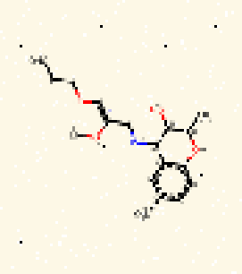 CCO/C(=C\OCCC=O)CNC1c2cc([N+](=O)[O-])ccc2OC(C)C1O